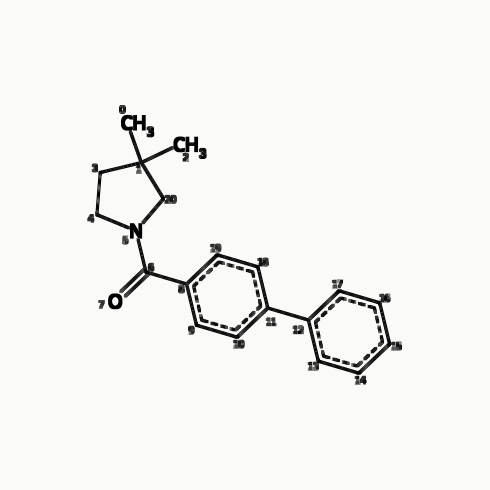 CC1(C)CCN(C(=O)c2ccc(-c3ccccc3)cc2)C1